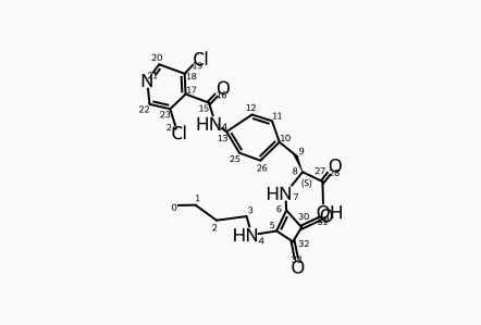 CCCCNc1c(N[C@@H](Cc2ccc(NC(=O)c3c(Cl)cncc3Cl)cc2)C(=O)O)c(=O)c1=O